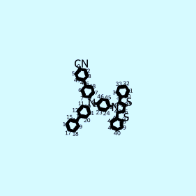 N#Cc1ccc(-c2ccc(N(c3ccc(-c4ccccc4)cc3)c3ccc(N4c5c(sc6ccccc56)C5Sc6ccccc6C54)cc3)cc2)cc1